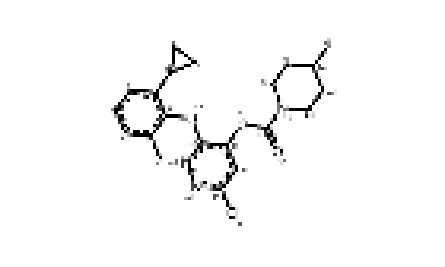 Cc1cccc(C2CC2)c1Oc1nnc(Cl)cc1OC(=O)N1CCC(C)CC1